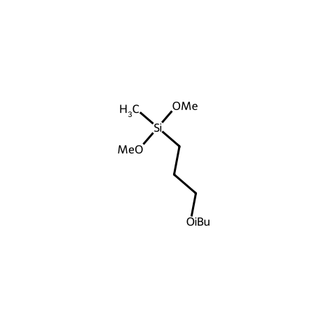 CO[Si](C)(CCCOCC(C)C)OC